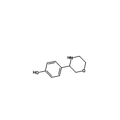 Oc1ccc(C2COCCN2)cc1